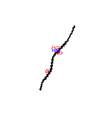 CCCCCCCCCCCCCCCC[C@H](O)CNC(=O)CCCCCCCCCCCCCCC(=O)CCCCCCCCCCCCCCC